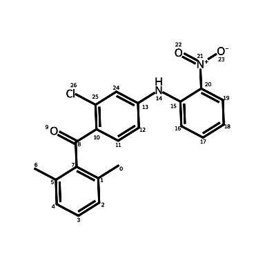 Cc1cccc(C)c1C(=O)c1ccc(Nc2ccccc2[N+](=O)[O-])cc1Cl